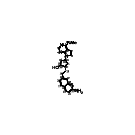 CNc1ncnc2c1ccn2[C@@H]1C[C@H](CCc2ccc3ccc(N)nc3c2)[C@@H](O)C1